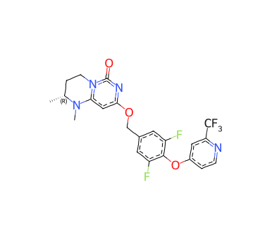 C[C@@H]1CCn2c(cc(OCc3cc(F)c(Oc4ccnc(C(F)(F)F)c4)c(F)c3)nc2=O)N1C